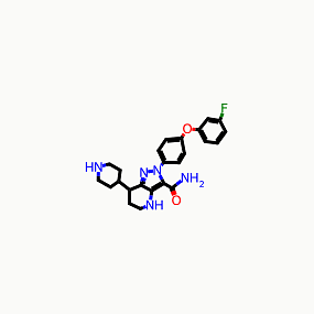 NC(=O)c1c2c(nn1-c1ccc(Oc3cccc(F)c3)cc1)C(C1CCNCC1)CCN2